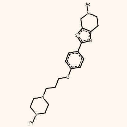 CC(=O)N1CCc2nc(-c3ccc(OCCCN4CCN(C(C)C)CC4)cc3)sc2C1